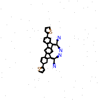 N#CC(C#N)=C1C2=C(C=CC(c3cccs3)C2)c2cc3c(cc21)C(=C(C#N)C#N)c1cc(-c2cccs2)ccc1-3